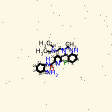 C=C(Nc1cccc(F)c1)N(CCN(CC)CC)Cc1ccc(C(=O)Nc2ccccc2N)nc1